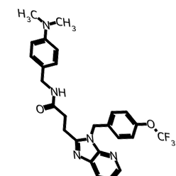 CN(C)c1ccc(CNC(=O)CCc2nc3cccnc3n2Cc2ccc(OC(F)(F)F)cc2)cc1